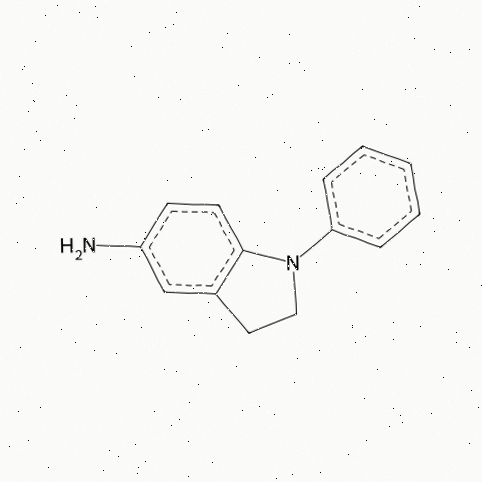 Nc1ccc2c(c1)CCN2c1ccccc1